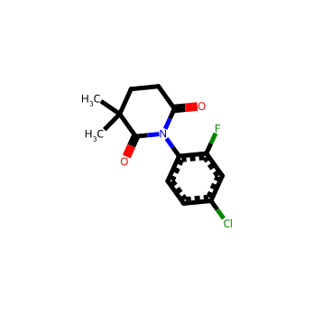 CC1(C)CCC(=O)N(c2ccc(Cl)cc2F)C1=O